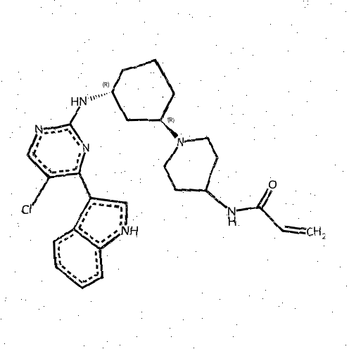 C=CC(=O)NC1CCN([C@@H]2CCC[C@@H](Nc3ncc(Cl)c(-c4c[nH]c5ccccc45)n3)C2)CC1